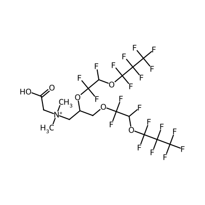 C[N+](C)(CC(=O)O)CC(COC(F)(F)C(F)OC(F)(F)C(F)(F)C(F)(F)F)OC(F)(F)C(F)OC(F)(F)C(F)(F)C(F)(F)F